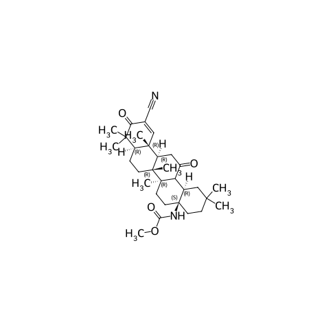 COC(=O)N[C@]12CCC(C)(C)C[C@@H]1C1C(=O)C[C@@H]3[C@@]4(C)C=C(C#N)C(=O)C(C)(C)[C@@H]4CC[C@@]3(C)[C@]1(C)CC2